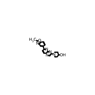 Cc1nc2cc(-c3ccc4ncc(N5CCC(O)CC5)nc4n3)ccc2o1